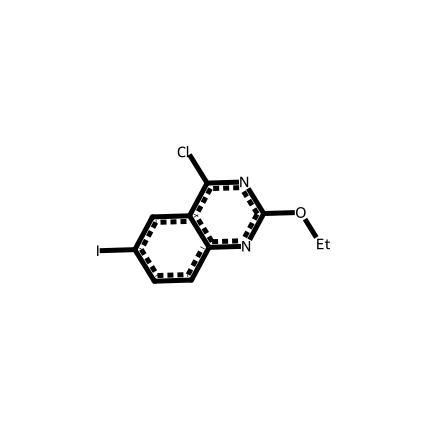 CCOc1nc(Cl)c2cc(I)ccc2n1